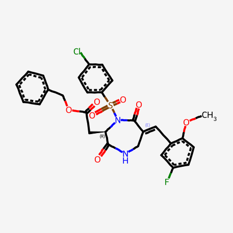 COc1ccc(F)cc1/C=C1\CNC(=O)[C@@H](CC(=O)OCc2ccccc2)N(S(=O)(=O)c2ccc(Cl)cc2)C1=O